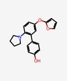 Oc1ccc(-c2cc(Oc3ccco3)ccc2N2CCCC2)cc1